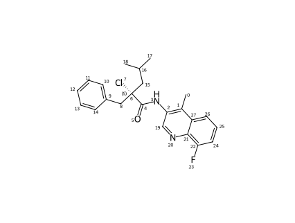 Cc1c(NC(=O)[C@@](Cl)(Cc2ccccc2)CC(C)C)cnc2c(F)cccc12